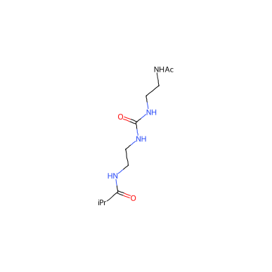 CC(=O)NCCNC(=O)NCCNC(=O)C(C)C